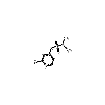 CN(C)S(=O)(=O)Nc1ccnc(Br)c1